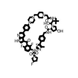 Cc1ncsc1-c1ccc(CNC(=O)[C@@H]2C[C@@H](O)CN2C(O)[C@@H](NC(=O)CN2CCC(CN3CCN(c4ccc(-c5cnc6[nH]cc(C(=O)c7c(F)ccc(NS(=O)(=O)N8CC[C@@H](F)C8)c7F)c6c5)cc4)CC3)CC2)C(C)(C)C)cc1